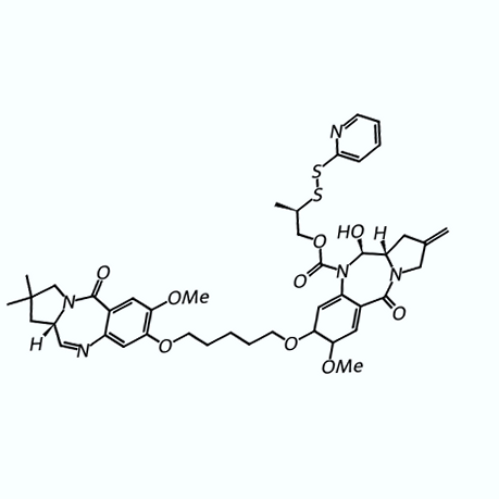 C=C1C[C@H]2[C@H](O)N(C(=O)OC[C@@H](C)SSc3ccccn3)C3=CC(OCCCCCOc4cc5c(cc4OC)C(=O)N4CC(C)(C)C[C@H]4C=N5)C(OC)C=C3C(=O)N2C1